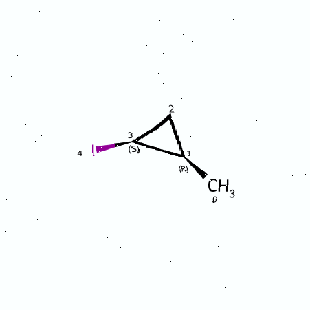 C[C@@H]1C[C@@H]1I